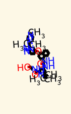 CN1CCN(C(C)(C)c2nnc3ccc(O[C@@H]4CC[C@H](NC(=O)Nc5cc(C(=O)NCCO)nc(C(C)(C)C)c5)c5ccccc54)cn23)CC1